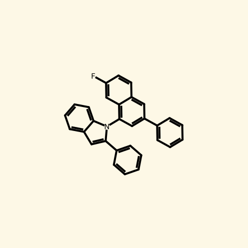 Fc1ccc2cc(-c3ccccc3)cc(-n3c(-c4ccccc4)cc4ccccc43)c2c1